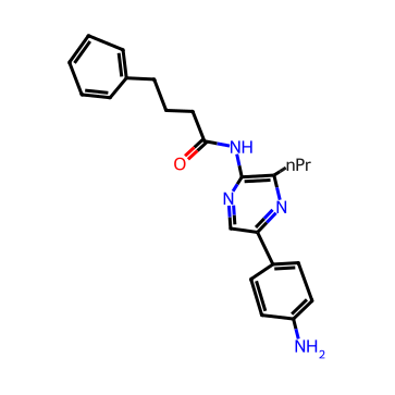 CCCc1nc(-c2ccc(N)cc2)cnc1NC(=O)CCCc1ccccc1